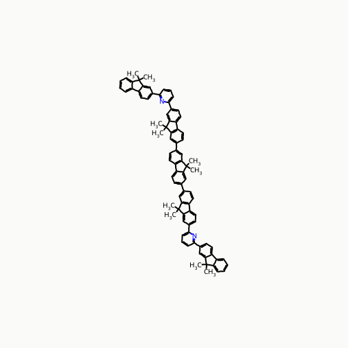 CC1(C)c2cc(-c3ccc4c(c3)C(C)(C)c3cc(-c5cccc(-c6ccc7c(c6)C(C)(C)c6ccccc6-7)n5)ccc3-4)ccc2-c2ccc(-c3ccc4c(c3)C(C)(C)c3cc(-c5cccc(-c6ccc7c(c6)C(C)(C)c6ccccc6-7)n5)ccc3-4)cc21